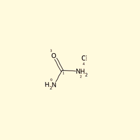 NC(N)=O.[C]